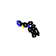 c1ccc2c(c1)-c1ccccc1C21c2ccccc2-c2ccc(-n3c4ccccc4c4cc5c(cc43)sc3ncncc35)cc21